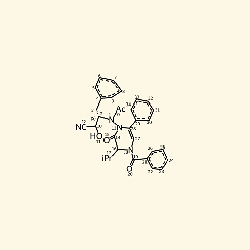 CC(=O)N([C@@H](Cc1ccccc1)C(O)C#N)N1C(=O)C(C(C)C)N(C(=O)c2ccccc2)C=C1c1ccccc1